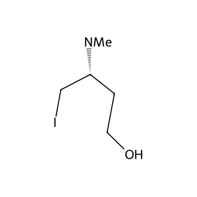 CN[C@@H](CI)CCO